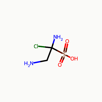 NCC(N)(Cl)S(=O)(=O)O